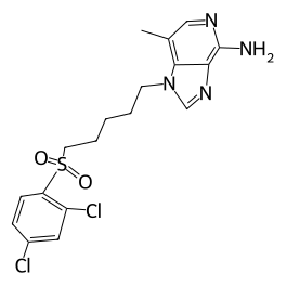 Cc1cnc(N)c2ncn(CCCCCS(=O)(=O)c3ccc(Cl)cc3Cl)c12